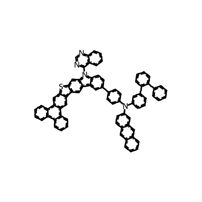 c1ccc(-c2ccccc2-c2cccc(N(c3ccc(-c4ccc5c(c4)c4cc6c(cc4n5-c4ncnc5ccccc45)sc4cc5c7ccccc7c7ccccc7c5cc46)cc3)c3ccc4cc5ccccc5cc4c3)c2)cc1